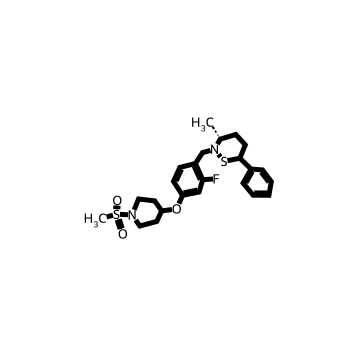 C[C@@H]1CCC(c2ccccc2)SN1Cc1ccc(OC2CCN(S(C)(=O)=O)CC2)cc1F